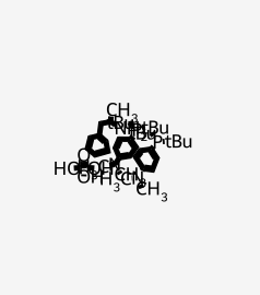 CC(N)Cc1ccccc1.CN(C)c1ccc(P(C(C)(C)C)C(C)(C)C)cc1.CN(C)c1ccc(P(C(C)(C)C)C(C)(C)C)cc1.O=P(O)(O)O